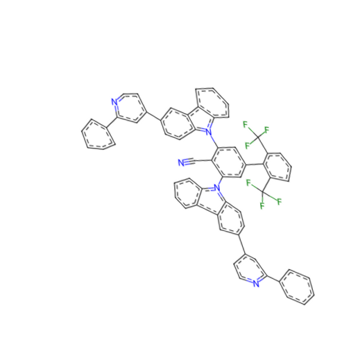 N#Cc1c(-n2c3ccccc3c3cc(-c4ccnc(-c5ccccc5)c4)ccc32)cc(-c2c(C(F)(F)F)cccc2C(F)(F)F)cc1-n1c2ccccc2c2cc(-c3ccnc(-c4ccccc4)c3)ccc21